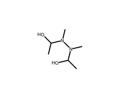 CC(O)N(C)N(C)C(C)O